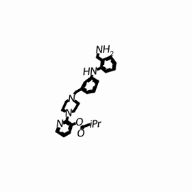 CC(C)C(=O)Oc1cccnc1N1CCN(Cc2cccc(Nc3ccccc3CN)c2)CC1